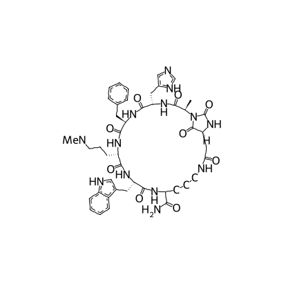 CNCCC[C@@H]1NC(=O)[C@@H](Cc2ccccc2)NC(=O)[C@H](Cc2cnc[nH]2)NC(=O)[C@@H](C)N2C(=O)N[C@@H](CC(=O)NCCCC(C(N)=O)NC(=O)[C@H](Cc3c[nH]c4ccccc34)NC1=O)C2=O